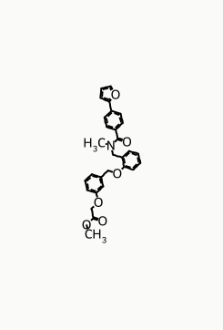 COC(=O)COc1cccc(COc2ccccc2CN(C)C(=O)c2ccc(-c3ccco3)cc2)c1